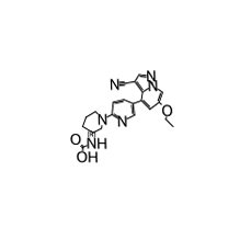 CCOc1cc(-c2ccc(N3CCC[C@@H](NC(=O)O)C3)nc2)c2c(C#N)cnn2c1